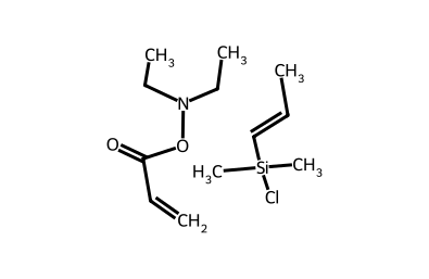 C=CC(=O)ON(CC)CC.CC=C[Si](C)(C)Cl